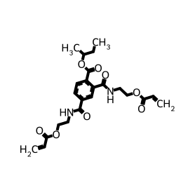 C=CC(=O)OCCNC(=O)c1ccc(C(=O)OC(C)CC)c(C(=O)NCCOC(=O)C=C)c1